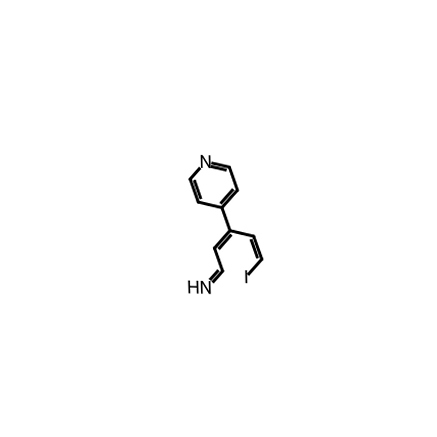 N=C/C=C(\C=C/I)c1ccncc1